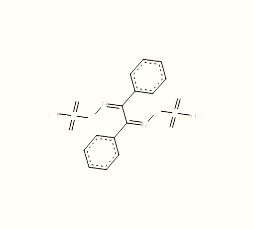 CCCCS(=O)(=O)O/N=C(\C(=N/OS(=O)(=O)CCCC)c1ccccc1)c1ccccc1